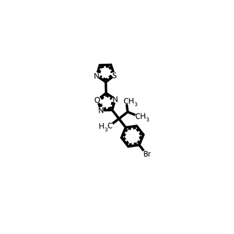 CC(C)C(C)(c1ccc(Br)cc1)c1noc(-c2nccs2)n1